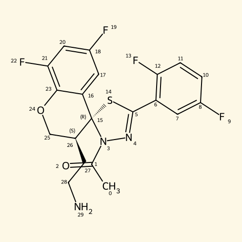 CC(=O)N1N=C(c2cc(F)ccc2F)S[C@]12c1cc(F)cc(F)c1OC[C@@H]2CCN